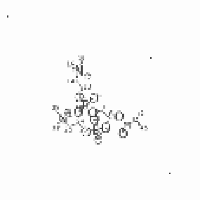 C=C(C)C(=O)OC(COP(=O)([O-])OCC[N+](C)(C)C)OP(=O)([O-])OCC[N+](C)(C)C